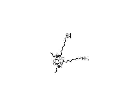 CCCNC(=O)[C@H](OC(=O)CCCCCCCCN)[C@@H](OC(=O)CCCCCCCCNO)C(=O)NCCC